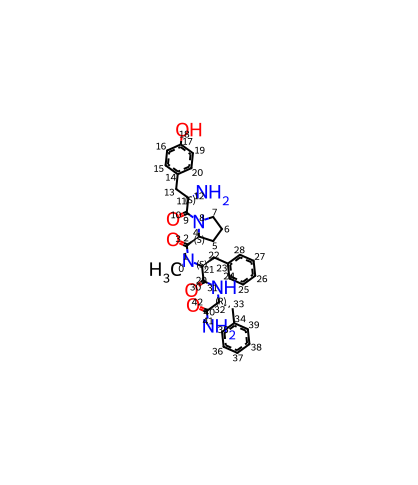 CN(C(=O)[C@@H]1CCCN1C(=O)[C@@H](N)Cc1ccc(O)cc1)[C@@H](Cc1ccccc1)C(=O)N[C@H](Cc1ccccc1)C(N)=O